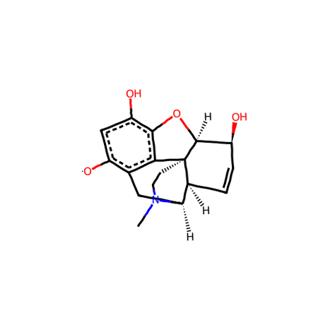 CN1CC[C@]23c4c5c([O])cc(O)c4O[C@H]2[C@@H](O)C=C[C@H]3[C@H]1C5